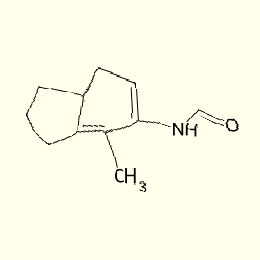 CC1=C2CCCC2CC=C1NC=O